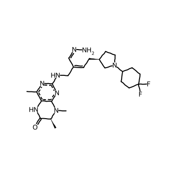 Cc1nc(NCC(/C=N\N)=C/C[C@H]2CCN(C3CCC(F)(F)CC3)C2)nc2c1NC(=O)[C@H](C)N2C